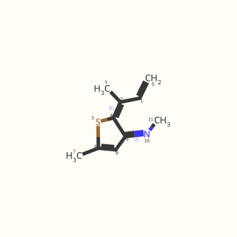 C=C/C(C)=C1/SC(C)=C/C1=N/C